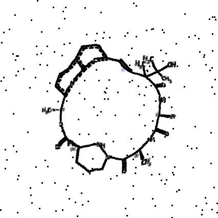 CC(C)[C@@H]1NC(=O)C(C)(C(C)(C)O)/C=C/c2ccc3ccc(nc3c2)[C@@H](C)OC(=O)[C@@H]2CCCN(N2)C(=O)[C@H](C)NC1=O